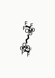 O=S(=O)(OCCCCOS(=O)(=O)C(F)C(F)F)C(F)C(F)F